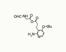 CC(C)(C)Oc1ccnc(N)c1CCC(=O)OC(=O)CNC=O